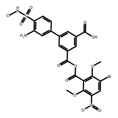 COc1c(Br)cc([N+](=O)[O-])c(OC)c1C(=O)OC(=O)c1cc(C(=O)O)cc(-c2ccc(S(=O)(=O)NCl)c(N)c2)c1